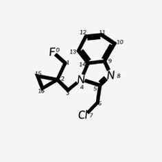 FCC1(Cn2c(CCl)nc3ccccc32)CC1